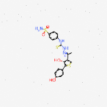 C/C(=N\NC(=S)Nc1ccc(S(N)(=O)=O)cc1)c1csc(-c2ccc(O)cc2)c1O